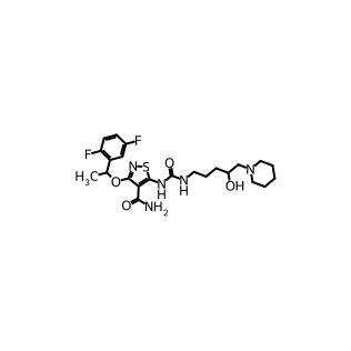 CC(Oc1nsc(NC(=O)NCCCC(O)CN2CCCCC2)c1C(N)=O)c1cc(F)ccc1F